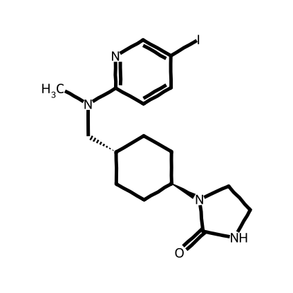 CN(C[C@H]1CC[C@H](N2CCNC2=O)CC1)c1ccc(I)cn1